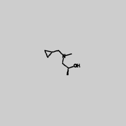 C[C@H](O)CN(C)CC1CC1